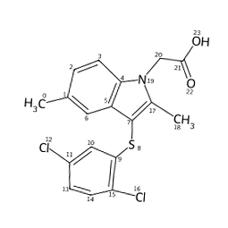 Cc1ccc2c(c1)c(Sc1cc(Cl)ccc1Cl)c(C)n2CC(=O)O